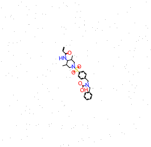 C=CC(=O)NC1C(C)CN(S(=O)(=O)c2ccc(CN(Cc3ccccc3)C(=O)O)cc2)CC1C